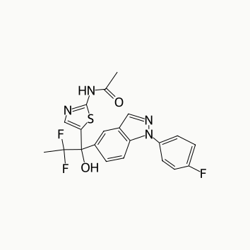 CC(=O)Nc1ncc(C(O)(c2ccc3c(cnn3-c3ccc(F)cc3)c2)C(C)(F)F)s1